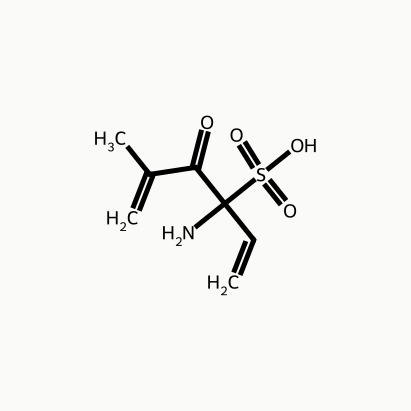 C=CC(N)(C(=O)C(=C)C)S(=O)(=O)O